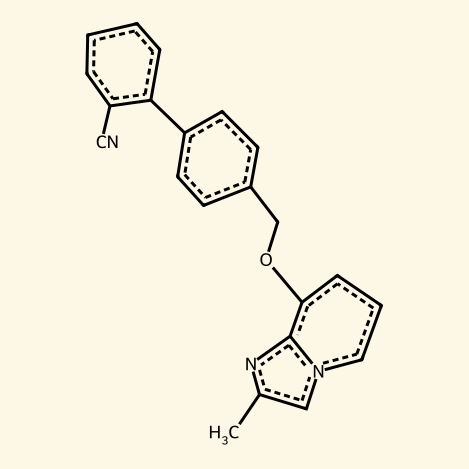 Cc1cn2cccc(OCc3ccc(-c4ccccc4C#N)cc3)c2n1